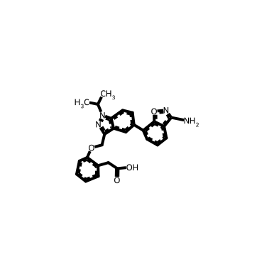 CC(C)n1nc(COc2ccccc2CC(=O)O)c2cc(-c3cccc4c(N)noc34)ccc21